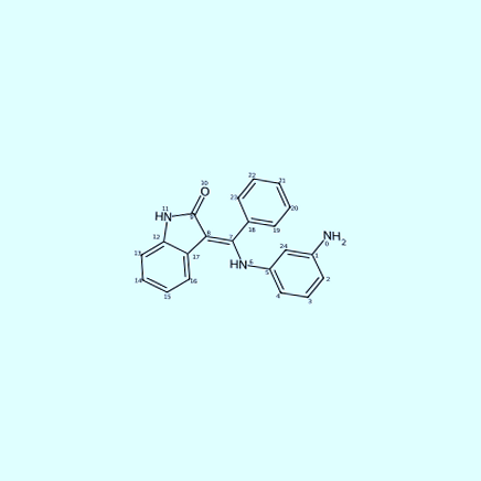 Nc1cccc(NC(=C2C(=O)Nc3ccccc32)c2ccccc2)c1